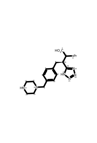 CCCC(C(=O)O)[C@H](Cc1ccc(CN2CCNCC2)cc1)c1nnn[nH]1